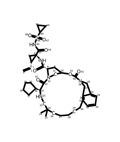 C=C[C@@H]1C[C@]1(NC(=O)[C@@H]1CC2CN1C(=O)[C@H](C1CCCC1)NCC(C)(C)CCCCCc1cccc3c1CN(C3)C(=O)O2)C(=O)NS(=O)(=O)C1CC1